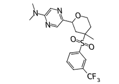 CN(C)c1cnc(C2CC(C)(S(=O)(=O)c3cccc(C(F)(F)F)c3)CCO2)cn1